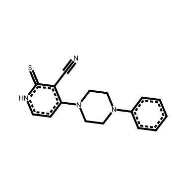 N#Cc1c(N2CCN(c3ccccc3)CC2)cc[nH]c1=S